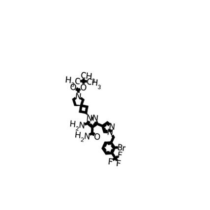 CC(C)(C)OC(=O)N1CC[C@]2(C1)C[C@H](n1nc(-c3cnn(Cc4cccc(C(F)(F)F)c4Br)c3)c(C(N)=O)c1N)C2